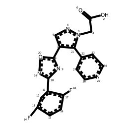 O=C(O)Cn1ncc(-c2nc(-c3cc(F)ccc3F)no2)c1-c1ccncc1